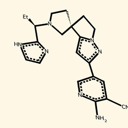 CC[C@H](c1ncc[nH]1)N1CC[C@@]2(CCn3nc(-c4cnc(N)c(C#N)c4)cc32)C1